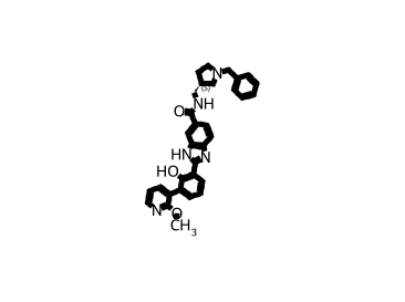 COc1ncccc1-c1cccc(-c2nc3ccc(C(=O)NC[C@@H]4CCN(Cc5ccccc5)C4)cc3[nH]2)c1O